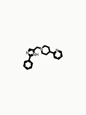 c1ccc(-c2ncc(CN3CCC(c4ccccn4)CC3)[nH]2)cc1